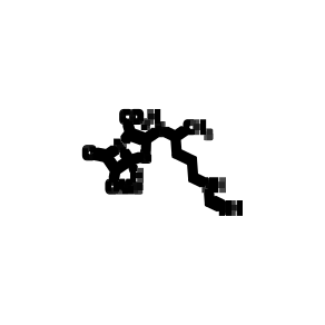 COC1C(=O)N2C(C(=O)O)=C(SC(C)CCCNC=N)S[C@H]12